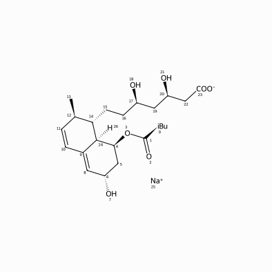 CC[C@H](C)C(=O)O[C@H]1C[C@H](O)C=C2C=C[C@@H](C)[C@H](CC[C@@H](O)C[C@@H](O)CC(=O)[O-])[C@H]21.[Na+]